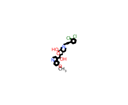 COc1ccc2nccc([C@@H](O)CC[C@@H]3CCN(CC#Cc4cccc(Cl)c4Cl)C[C@@H]3C(=O)O)c2c1